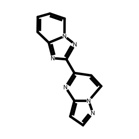 c1ccn2nc(-c3ccn4nccc4n3)nc2c1